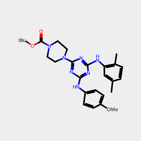 COc1ccc(Nc2nc(Nc3cc(C)ccc3C)nc(N3CCN(C(=O)OC(C)(C)C)CC3)n2)cc1